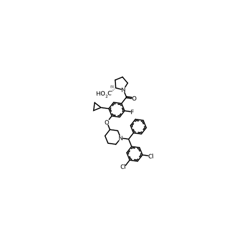 O=C(O)[C@@H]1CCCN1C(=O)c1cc(C2CC2)c(OC2CCCN(C(c3ccccc3)c3cc(Cl)cc(Cl)c3)C2)cc1F